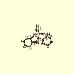 N=C(N)C1(c2ccccc2)N=c2ccccc2=N1